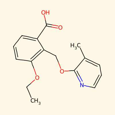 CCOc1cccc(C(=O)O)c1COc1ncccc1C